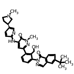 CN1CC[C@H](c2ccc(Nc3cc(-c4cccc(-n5ncc6cc(C(C)(C)C)ccc6c5=O)c4CO)nn(C)c3=O)nc2)C1